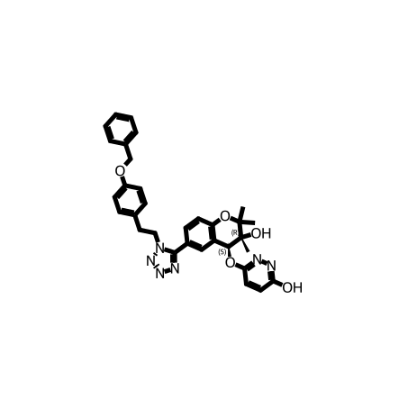 CC1(C)Oc2ccc(-c3nnnn3CCc3ccc(OCc4ccccc4)cc3)cc2[C@H](Oc2ccc(O)nn2)[C@@]1(C)O